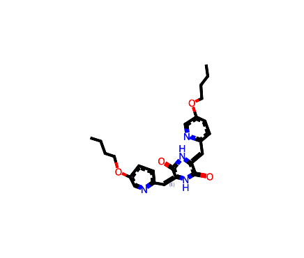 CCCCOc1ccc(C=c2[nH]c(=O)/c(=C\c3ccc(OCCCC)cn3)[nH]c2=O)nc1